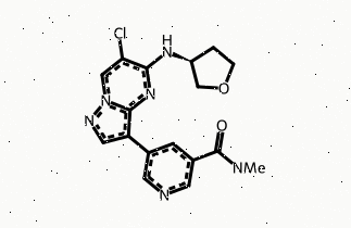 CNC(=O)c1cncc(-c2cnn3cc(Cl)c(N[C@H]4CCOC4)nc23)c1